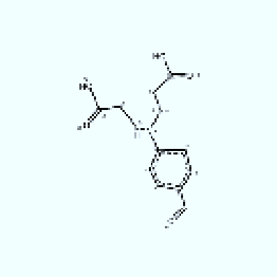 O=Cc1ccc(N(NCC(=O)O)NCC(=O)O)cc1